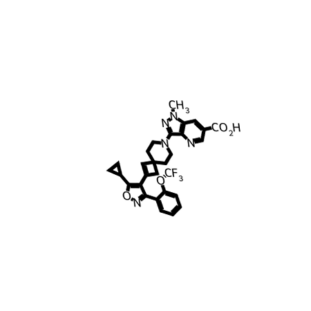 Cn1nc(N2CCC3(C=C(c4c(-c5ccccc5OC(F)(F)F)noc4C4CC4)C3)CC2)c2ncc(C(=O)O)cc21